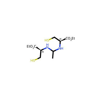 CCOC(=O)[C@H](CS)NC(C)N[C@@H](CS)C(=O)OCC